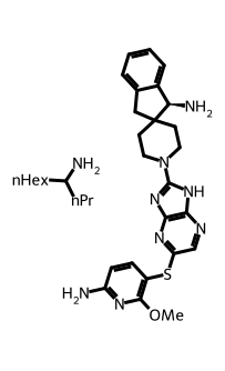 CCCCCCC(N)CCC.COc1nc(N)ccc1Sc1cnc2[nH]c(N3CCC4(CC3)Cc3ccccc3[C@H]4N)nc2n1